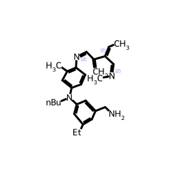 C=C(/C=N\c1ccc(N(CCCC)c2cc(CC)cc(CN)c2)cc1C)C(/C=N\C)=C/C